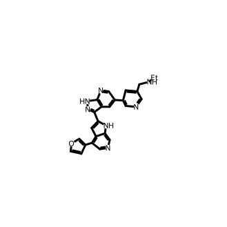 CCNCc1cncc(-c2cnc3[nH]nc(-c4cc5c(-c6ccoc6)cncc5[nH]4)c3c2)c1